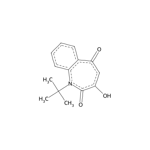 CC(C)(C)n1c(=O)c(O)cc(=O)c2ccccc21